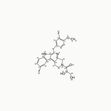 COc1ccc(Cc2nc3c(c4c2[nH]c2ccc(F)cc24)CCN(C(=O)C(O)CO)C3)cc1F